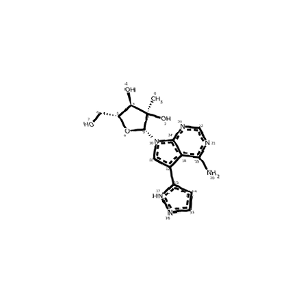 C[C@@]1(O)[C@H](O)[C@@H](CO)O[C@H]1n1cc(-c2ccn[nH]2)c2c(N)ncnc21